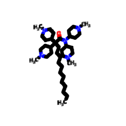 CCCCCCCCCCCCC(C(=O)N(C1CCN(C)CC1)C1CCN(C)CC1)(C1CCN(C)CC1)C1CCN(C)CC1